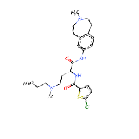 COCCN(CC[C@@H](NC(=O)c1ccc(Cl)s1)C(=O)Nc1ccc2c(c1)CCN(C)CC2)C(C)=O